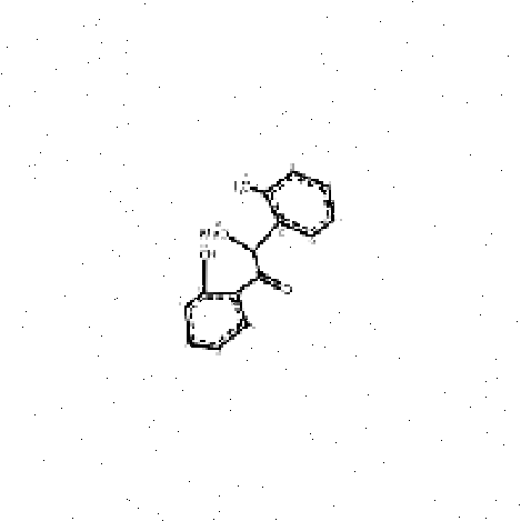 COC(C(=O)c1ccccc1C)c1ccccc1C